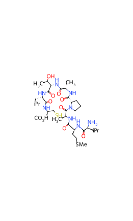 CSCC[C@H](NC(=O)[C@@H](N)C(C)C)C(=O)N[C@@H](C)C(=O)N1CCC[C@H]1C(=O)N[C@@H](C)C(=O)N[C@H](C(=O)N[C@@H](CC(C)C)C(=O)N[C@@H](CS)C(=O)O)[C@@H](C)O